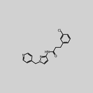 O=C(CCc1cccc(Cl)c1)Nc1ccn(Cc2ccncc2)n1